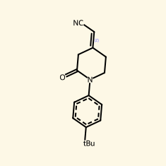 CC(C)(C)c1ccc(N2CC/C(=C/C#N)CC2=O)cc1